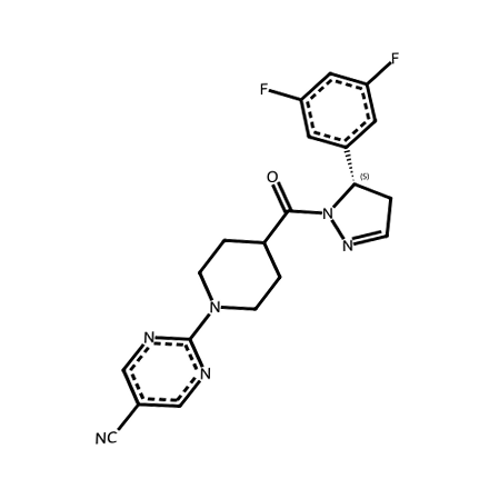 N#Cc1cnc(N2CCC(C(=O)N3N=CC[C@H]3c3cc(F)cc(F)c3)CC2)nc1